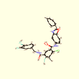 Cc1cccc(-c2nc3cc(NC(=O)c4cc(C(=O)NCc5ccc(F)c(F)c5)c(F)c(C)c4Cl)ccc3o2)c1